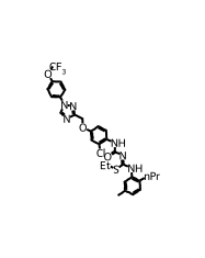 CCCc1ccc(C)cc1N/C(=N/C(=O)Nc1ccc(OCc2ncn(-c3ccc(OC(F)(F)F)cc3)n2)cc1Cl)SCC